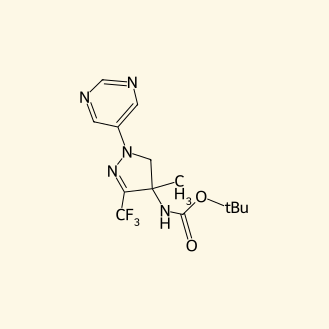 CC(C)(C)OC(=O)NC1(C)CN(c2cncnc2)N=C1C(F)(F)F